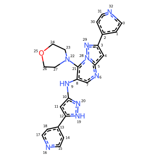 c1cc(-c2cc3ncc(Nc4cc(-c5ccncc5)[nH]n4)c(N4CCOCC4)n3n2)ccn1